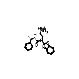 C[C@H](NC(=O)N(CCN)c1nc2ccccc2s1)c1ccccc1.Cl